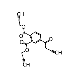 C#CCOC(=O)c1ccc(C(=O)CC#C)cc1C(=O)OCC#C